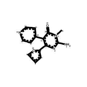 Cn1c(N)nc(-c2ccco2)c(-c2ccncc2)c1=O